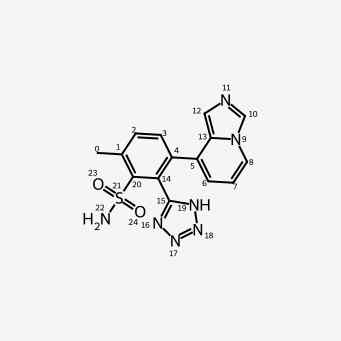 Cc1ccc(-c2cccn3cncc23)c(-c2nnn[nH]2)c1S(N)(=O)=O